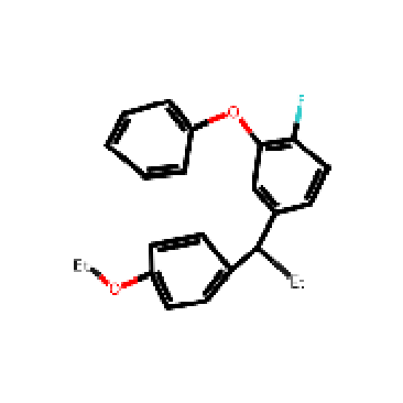 [CH2]CC(c1ccc(OCC)cc1)c1ccc(F)c(Oc2ccccc2)c1